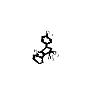 Cc1ccc(C2CC(C)(C)c3c2[nH]c2ccccc32)cc1